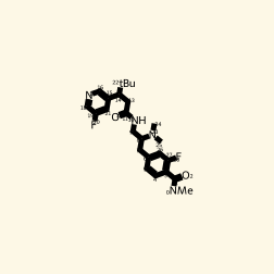 CNC(=O)c1ccc(CC(CNC(=O)CC(c2cncc(F)c2)C(C)(C)C)N(C)C)cc1F